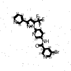 O=C(Nc1ccc(-n2nc(-c3cccnc3)cc2C(F)(F)F)nc1)c1cncc(Br)c1